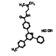 Cc1ccc(-c2cc(-c3ccccc3)nc(-c3ccc(C(=O)NCCN(C)C)cc3)c2)cc1.Cl.Cl